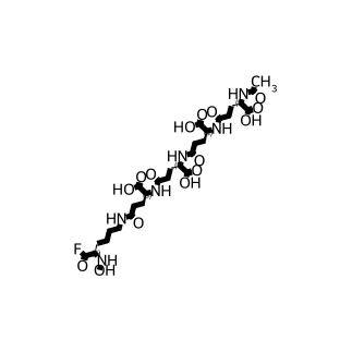 CC(=O)N[C@@H](CCC(=O)N[C@@H](CCC(=O)N[C@@H](CCC(=O)N[C@@H](CCC(=O)NCCCC[C@H](NO)C(=O)F)C(=O)O)C(=O)O)C(=O)O)C(=O)O